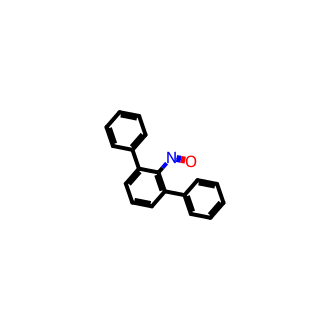 O=Nc1c(-c2ccccc2)cccc1-c1ccccc1